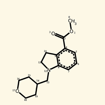 COC(=O)c1cccc2c1CCN2CC1CCOCC1